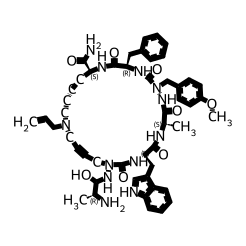 C=CCN1CC#CCN(NC(O)[C@@H](C)N)C(=O)N[C@H](Cc2c[nH]c3ccccc23)C(=O)N[C@@H](C)C(=O)NN(Cc2ccc(OC)cc2)C(=O)N[C@H](Cc2ccccc2)C(=O)N[C@H](C(N)=O)CCCC1